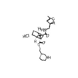 Cc1cc(CNC(=O)[C@H]2[C@H](C(=O)OCCC3CCCNC3)[C@H]3CC[C@@H]2C32CC2)no1.Cl